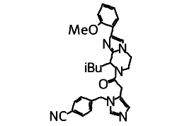 CCC(C)C1c2nc(-c3ccccc3OC)cn2CCN1C(=O)Cc1cncn1Cc1ccc(C#N)cc1